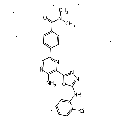 CN(C)C(=O)c1ccc(-c2cnc(N)c(-c3nnc(Nc4ccccc4Cl)o3)n2)cc1